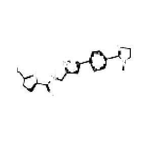 CN1CCN=C1c1ccc(-c2cc(CNC(=O)C3=CCC(Cl)S3)no2)cc1